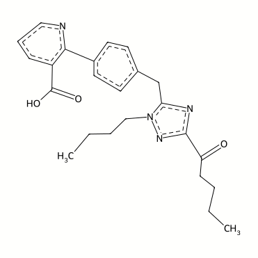 CCCCC(=O)c1nc(Cc2ccc(-c3ncccc3C(=O)O)cc2)n(CCCC)n1